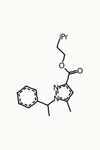 Cc1cc(C(=O)OCCC(C)C)nn1C(C)c1ccccc1